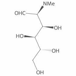 CN[C@H](C=O)[C@@H](O)[C@H](O)[C@H](O)CO